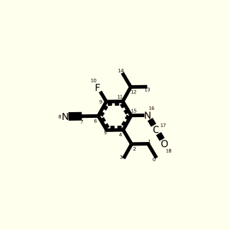 CCC(C)c1cc(C#N)c(F)c(C(C)C)c1N=C=O